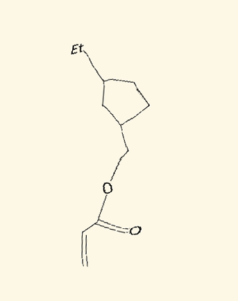 C=CC(=O)OCC1CCC(CC)C1